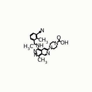 Cc1c(C#N)cccc1[C@@H](C)Nc1nnc(C)c2cnc(N3CCN(C(=O)O)CC3)cc12